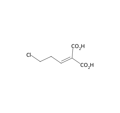 O=C(O)C(=CCCCl)C(=O)O